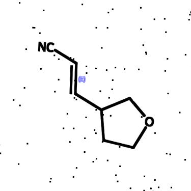 N#C/C=C/C1CCOC1